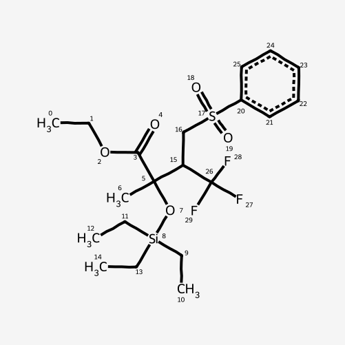 CCOC(=O)C(C)(O[Si](CC)(CC)CC)C(CS(=O)(=O)c1ccccc1)C(F)(F)F